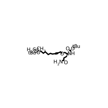 CC(C)(C)OC(=O)N[C@@H](CCC(N)=O)COCC#CCCCCCCO[Si](C)(C)C(C)(C)C